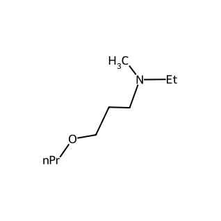 CCCOCCCN(C)CC